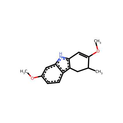 COC1=Cc2[nH]c3cc(OC)ccc3c2CC1C